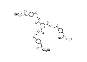 CCOC(=O)/C(C#N)=C/c1ccc(N(C)CCOC(=O)C2CC(C(=O)OCCN(C)c3ccc(/C=C(\C#N)C(=O)OCC)cc3)CC(C(=O)OCCN(C)c3ccc(/C=C(\C#N)C(=O)OCC)cc3)C2)cc1